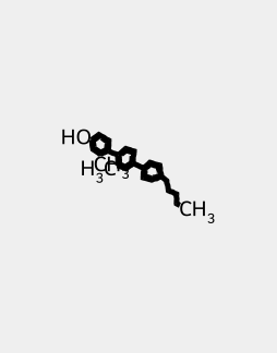 CCCCCc1ccc(-c2ccc(-c3ccc(O)cc3C)c(C)c2)cc1